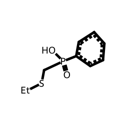 CCSCP(=O)(O)c1ccccc1